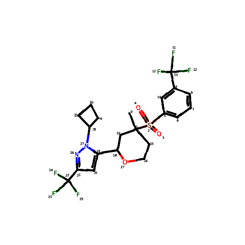 CC1(S(=O)(=O)c2cccc(C(F)(F)F)c2)CCOC(c2cc(C(F)(F)F)nn2C2CCC2)C1